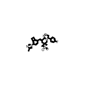 Cc1cn(-c2ccc(/C=C3\CC4(CN5C3=NOCC5c3ccc(F)cc3)CS(=O)(=O)C4)c3c2CC3)cn1